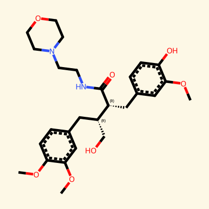 COc1cc(C[C@@H](C(=O)NCCN2CCOCC2)[C@H](CO)Cc2ccc(OC)c(OC)c2)ccc1O